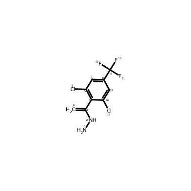 C=C(NN)c1c(Cl)cc(C(F)(F)F)cc1Cl